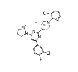 C[C@@H]1CCCN1c1cc(-c2ccc(F)c(Cl)c2)nc(N2CCN(c3ncccc3Cl)C[C@H]2C)n1